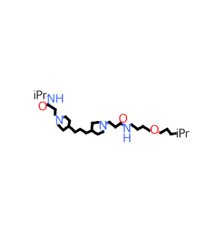 CC(C)CCCOCCCCNC(=O)CCN1CCC(CCCC2CCN(CCC(=O)NC(C)C)CC2)CC1